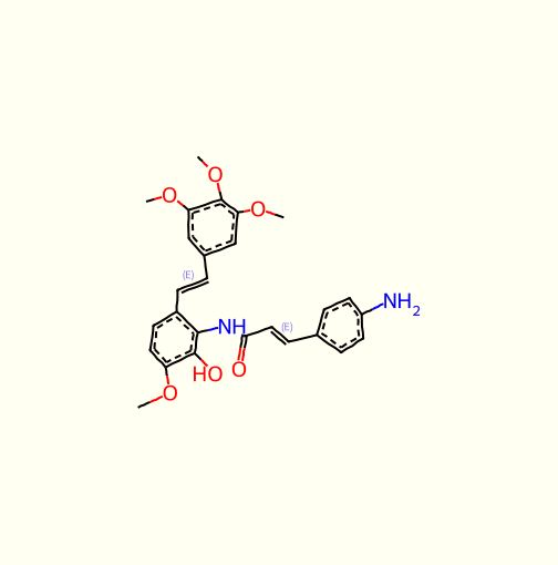 COc1ccc(/C=C/c2cc(OC)c(OC)c(OC)c2)c(NC(=O)/C=C/c2ccc(N)cc2)c1O